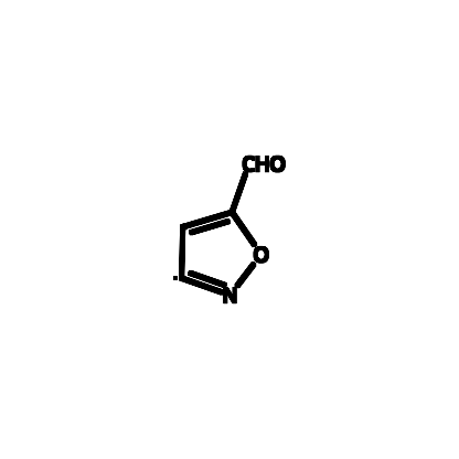 O=Cc1c[c]no1